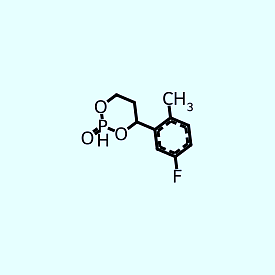 Cc1ccc(F)cc1C1CCO[PH](=O)O1